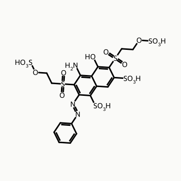 Nc1c(S(=O)(=O)CCOS(=O)(=O)O)c(N=Nc2ccccc2)c(S(=O)(=O)O)c2cc(S(=O)(=O)O)c(S(=O)(=O)CCOS(=O)(=O)O)c(O)c12